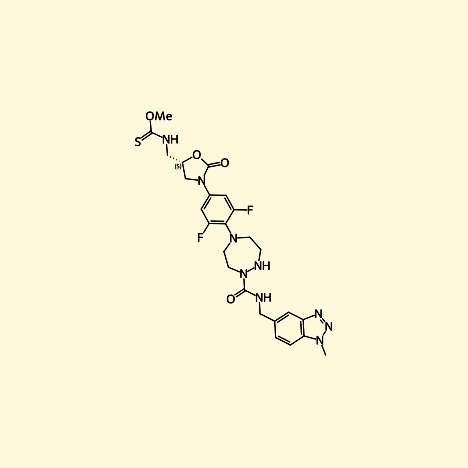 COC(=S)NC[C@H]1CN(c2cc(F)c(N3CCNN(C(=O)NCc4ccc5c(c4)nnn5C)CC3)c(F)c2)C(=O)O1